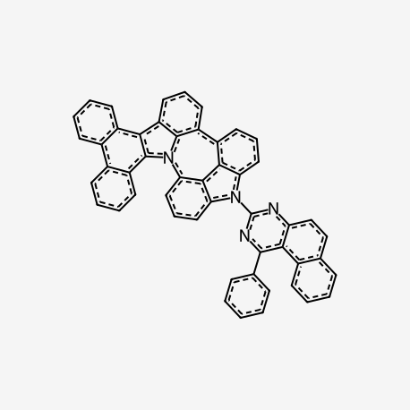 c1ccc(-c2nc(-n3c4cccc5c6cccc7c8c9ccccc9c9ccccc9c8n(c8cccc3c8c54)c67)nc3ccc4ccccc4c23)cc1